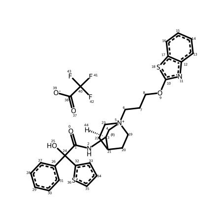 O=C(N[C@H]1C[N+]2(CCCOc3nc4ccccc4s3)CCC1CC2)C(O)(c1ccccc1)c1cccs1.O=C([O-])C(F)(F)F